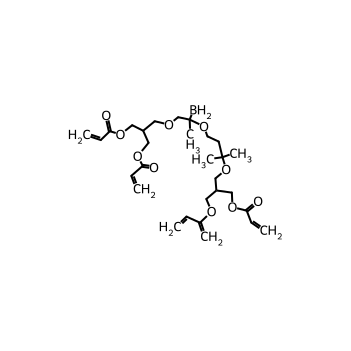 BC(C)(COCC(COC(=O)C=C)COC(=O)C=C)OCCC(C)(C)OCC(COC(=C)C=C)COC(=O)C=C